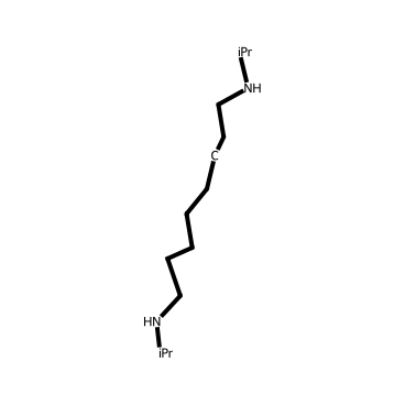 CC(C)NCCCCCCCCNC(C)C